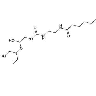 CCCCCC(=O)NCCNC(=O)OCC(O)OC(CC)CO